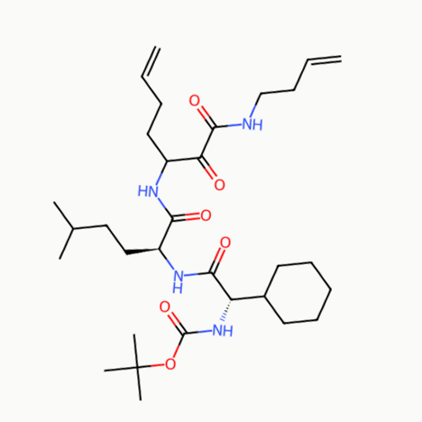 C=CCCNC(=O)C(=O)C(CCC=C)NC(=O)[C@H](CCC(C)C)NC(=O)[C@@H](NC(=O)OC(C)(C)C)C1CCCCC1